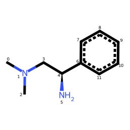 CN(C)C[C@H](N)c1ccccc1